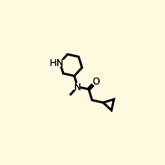 CN(C(=O)CC1CC1)C1CCCNC1